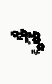 Cc1cc(-c2cc3ccnc(NCc4cnc(-c5ccncc5)c(C#N)c4C)c3cn2)ccn1